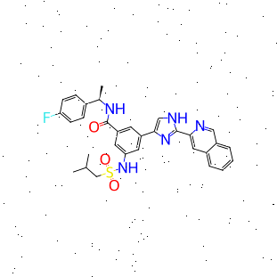 CC(C)CS(=O)(=O)Nc1cc(C(=O)N[C@H](C)c2ccc(F)cc2)cc(-c2c[nH]c(-c3cc4ccccc4cn3)n2)c1